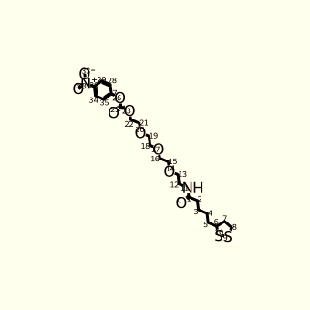 O=C(CCCCC1CCSS1)NCCOCCOCCOCCOC(=O)Oc1ccc([N+](=O)[O-])cc1